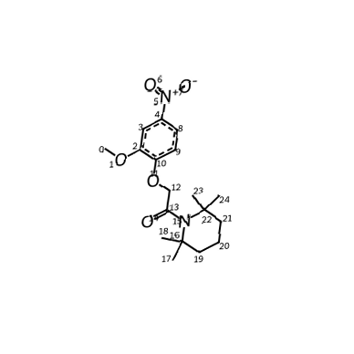 COc1cc([N+](=O)[O-])ccc1OCC(=O)N1C(C)(C)CCCC1(C)C